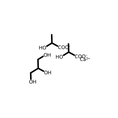 CC(O)C(=O)[O-].CC(O)C(=O)[O-].OCC(O)CO.[Ca+2]